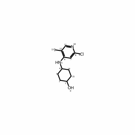 OC1CCC(Nc2cc(Cl)ncc2I)CC1